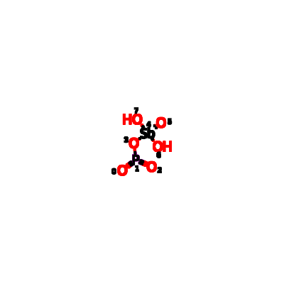 O=P(=O)[O][Sb](=[O])([OH])[OH]